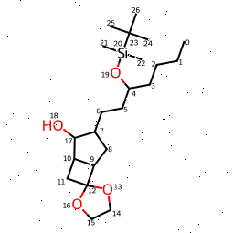 CCCCC(CCC1CC2C(CC23OCCO3)C1O)O[Si](C)(C)C(C)(C)C